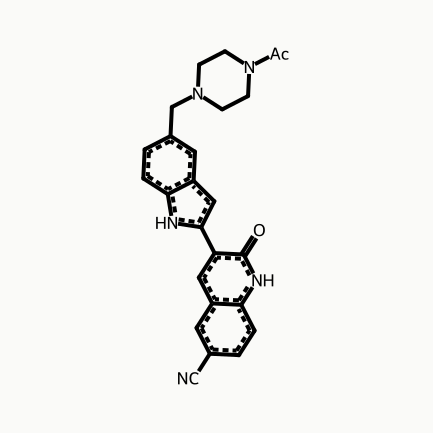 CC(=O)N1CCN(Cc2ccc3[nH]c(-c4cc5cc(C#N)ccc5[nH]c4=O)cc3c2)CC1